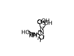 Cc1ccc2nc(N3CCS(O)(O)c4ccccc4C3)cc(NC[C@H](N)CO)c2c1